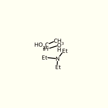 CC(=O)O.CC(C)O.CCN(CC)CC